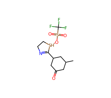 CC1CC(=O)CC(C2=NCC[SH]2OS(=O)(=O)C(F)(F)F)C1